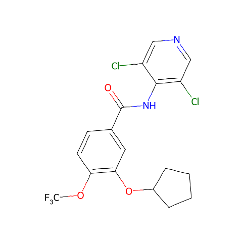 O=C(Nc1c(Cl)cncc1Cl)c1ccc(OC(F)(F)F)c(OC2CCCC2)c1